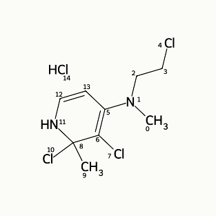 CN(CCCl)C1=C(Cl)C(C)(Cl)NC=C1.Cl